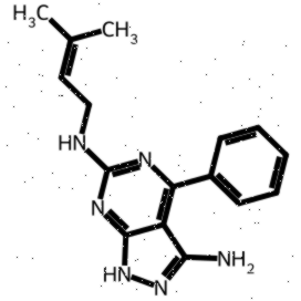 CC(C)=CCNc1nc(-c2ccccc2)c2c(N)n[nH]c2n1